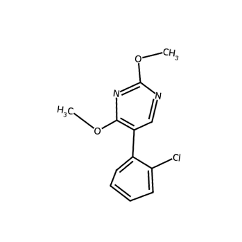 COc1ncc(-c2ccccc2Cl)c(OC)n1